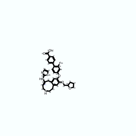 O=C(O)c1ccc(-c2ccc(Oc3cc4c(cc3OCC3CCCO3)CCNC/C=C(/Nc3nccs3)C4)cc2F)cc1